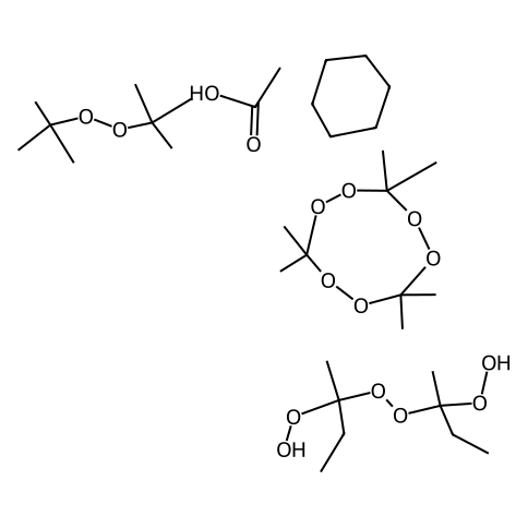 C1CCCCC1.CC(=O)O.CC(C)(C)OOC(C)(C)C.CC1(C)OOC(C)(C)OOC(C)(C)OO1.CCC(C)(OO)OOC(C)(CC)OO